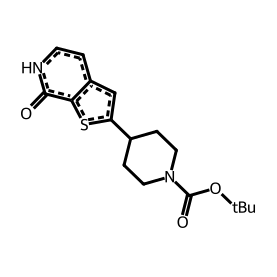 CC(C)(C)OC(=O)N1CCC(c2cc3cc[nH]c(=O)c3s2)CC1